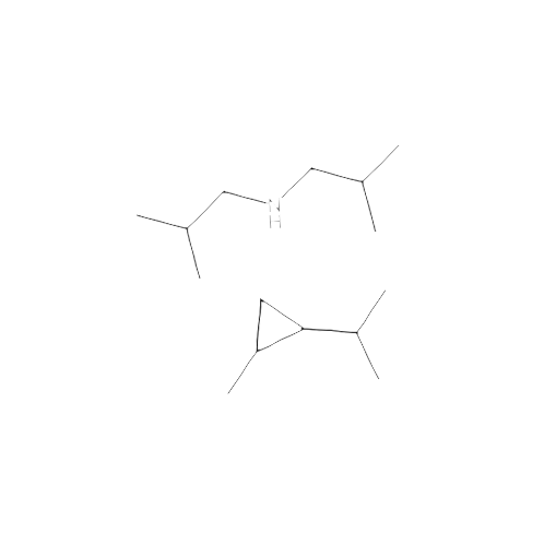 CC(C)C1CC1C.CC(C)CNCC(C)C